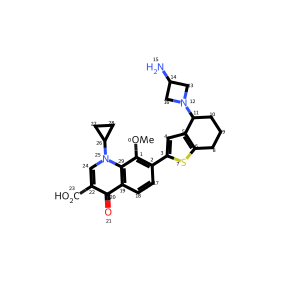 COc1c(-c2cc3c(s2)CCCC3N2CC(N)C2)ccc2c(=O)c(C(=O)O)cn(C3CC3)c12